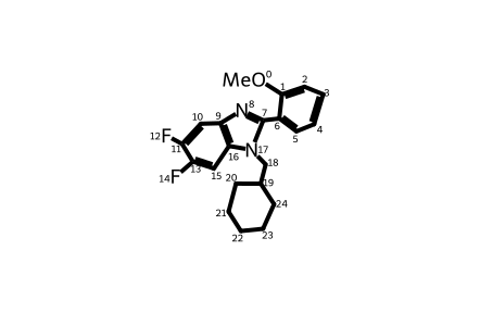 COc1ccccc1-c1nc2cc(F)c(F)cc2n1CC1CCCCC1